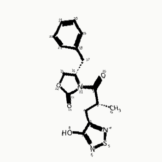 C[C@H](Cc1nsnc1O)C(=O)N1C(=O)OC[C@@H]1Cc1ccccc1